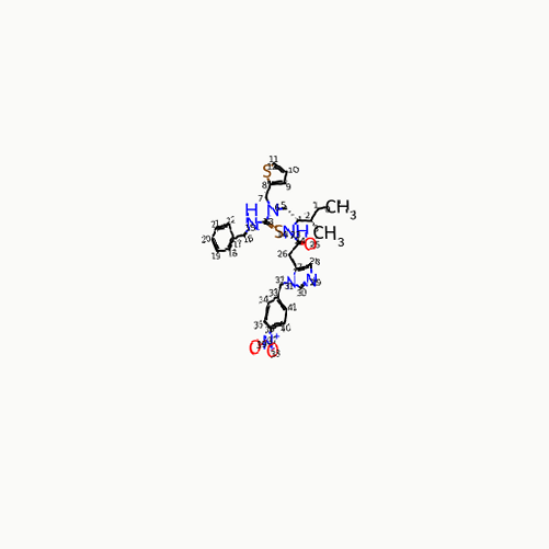 CC[C@H](C)[C@@H](CN(Cc1cccs1)C(=S)NCc1ccccc1)NC(=O)Cc1cncn1Cc1ccc([N+](=O)[O-])cc1